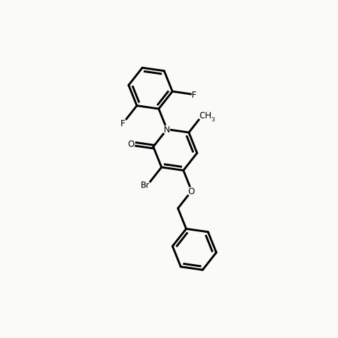 Cc1cc(OCc2ccccc2)c(Br)c(=O)n1-c1c(F)cccc1F